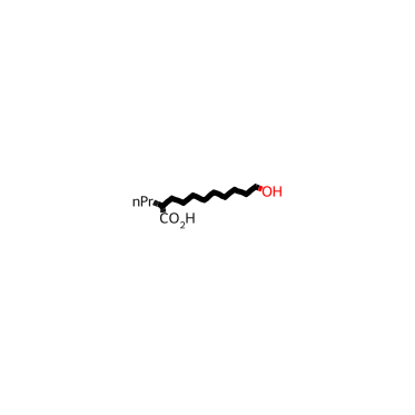 CCCC(CCCCCCCCCO)C(=O)O